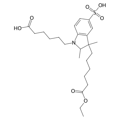 CCOC(=O)CCCCCC1(C)c2cc(S(=O)(=O)O)ccc2N(CCCCCC(=O)O)C1C